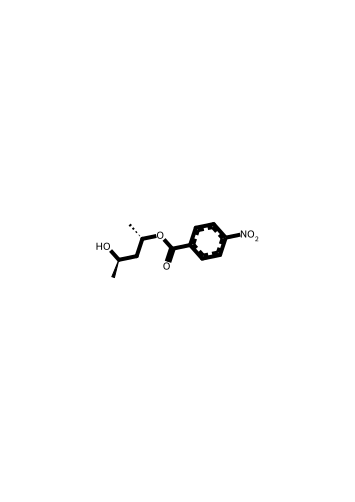 C[C@@H](O)C[C@H](C)OC(=O)c1ccc([N+](=O)[O-])cc1